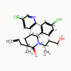 C=CC[C@@]1(C)C[C@H](c2cncc(Cl)c2)[C@@H](c2ccc(Cl)cc2)N([C@@H](C)CCO)C1=O